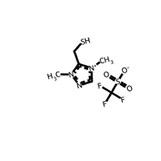 Cn1nc[n+](C)c1CS.O=S(=O)([O-])C(F)(F)F